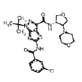 CC(C)(C)n1nc(C(=O)N[C@@H]2COC[C@H]2N2CCOCC2)c2sc(NC(=O)c3cccc(Cl)c3)nc21